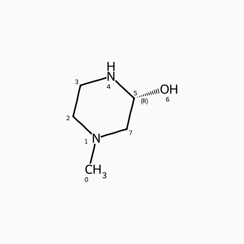 CN1CCN[C@H](O)C1